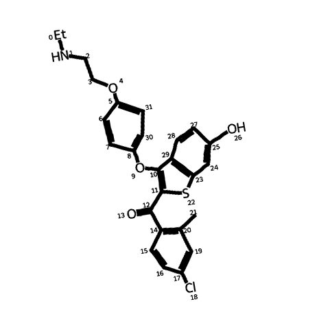 CCNCCOc1ccc(Oc2c(C(=O)c3ccc(Cl)cc3C)sc3cc(O)ccc23)cc1